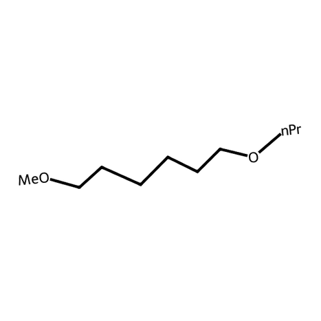 [CH2]CCOCCCCCCOC